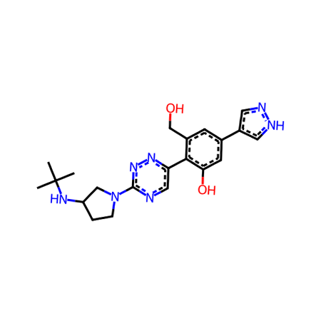 CC(C)(C)NC1CCN(c2ncc(-c3c(O)cc(-c4cn[nH]c4)cc3CO)nn2)C1